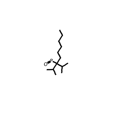 CCCCCCC(P=O)(C(C)C)C(C)C